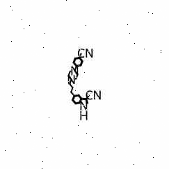 N#Cc1ccc(N2CCN(CCCc3ccc4[nH]cc(C#N)c4c3)CC2)cc1